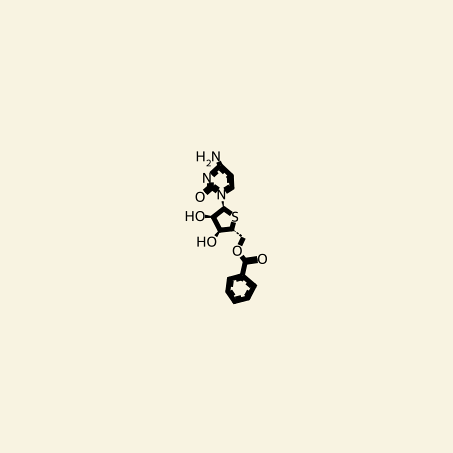 Nc1ccn([C@@H]2S[C@H](COC(=O)c3ccccc3)[C@@H](O)[C@H]2O)c(=O)n1